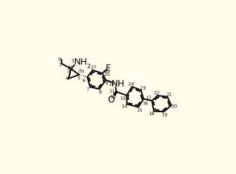 CC[C@@]1(N)C[C@H]1c1ccc(NC(=O)c2ccc(-c3ccccc3)cc2)c(F)c1